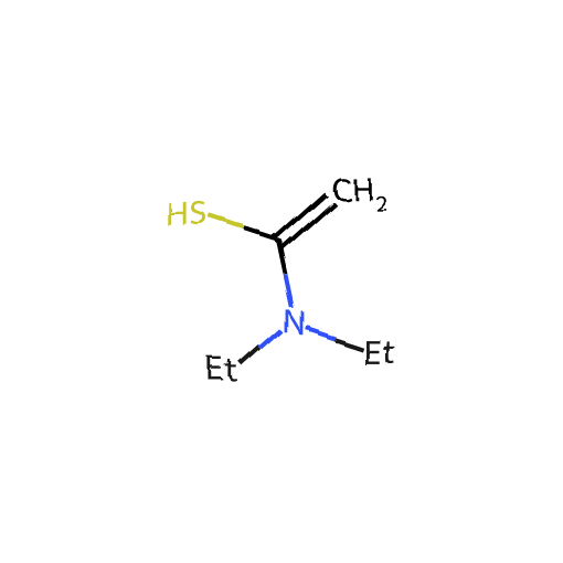 C=C(S)N(CC)CC